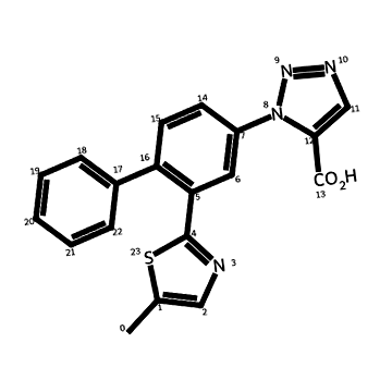 Cc1cnc(-c2cc(-n3nncc3C(=O)O)ccc2-c2ccccc2)s1